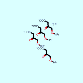 CCCOCC(=O)CC(=O)[O-].CCCOCC(=O)CC(=O)[O-].CCCOCC(=O)CC(=O)[O-].CCCOCC(=O)CC(=O)[O-].[Ti+4]